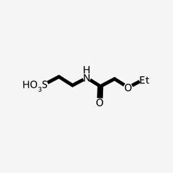 CCOCC(=O)NCCS(=O)(=O)O